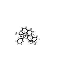 CCOC1(OC2CCCCC2)CCC=C2CCC3C4CCC[C@@]4(C)CCC3[C@]21C=O